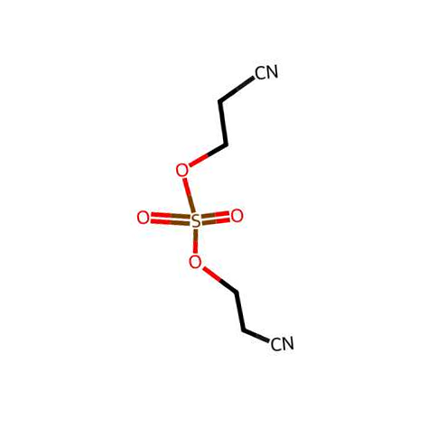 N#CCCOS(=O)(=O)OCCC#N